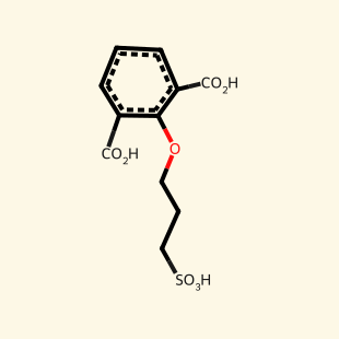 O=C(O)c1cccc(C(=O)O)c1OCCCS(=O)(=O)O